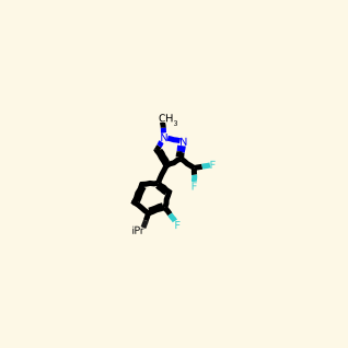 CC(C)c1ccc(-c2cn(C)nc2C(F)F)cc1F